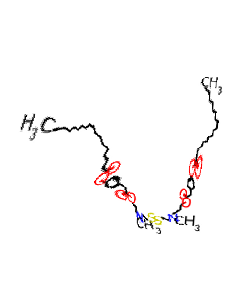 CCCCCCCC/C=C\CCCCCCCC(=O)Oc1ccc(CC(=O)OCCCN(C)CCSSCCN(C)CCCOC(=O)Cc2ccc(OC(=O)CCCCCCC/C=C\CCCCCCCC)cc2)cc1